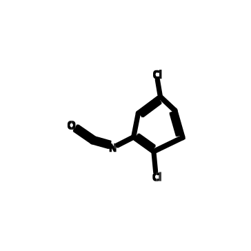 O=C=Nc1cc(Cl)ccc1Cl